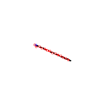 CCCOCCOCCOCCOCCOCCOCCOCCOCCOCCOCCOCCOCCC(=O)N=O